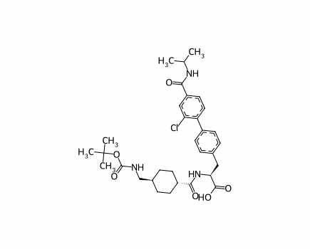 CC(C)NC(=O)c1ccc(-c2ccc(C[C@H](NC(=O)[C@H]3CC[C@H](CNC(=O)OC(C)(C)C)CC3)C(=O)O)cc2)c(Cl)c1